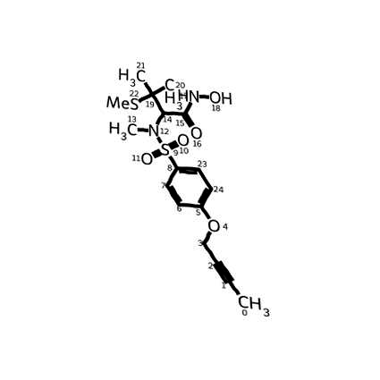 CC#CCOc1ccc(S(=O)(=O)N(C)C(C(=O)NO)C(C)(C)SC)cc1